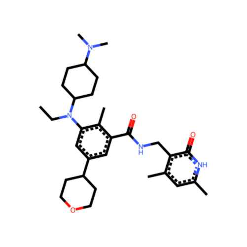 CCN(c1cc(C2CCOCC2)cc(C(=O)NCc2c(C)cc(C)[nH]c2=O)c1C)C1CCC(N(C)C)CC1